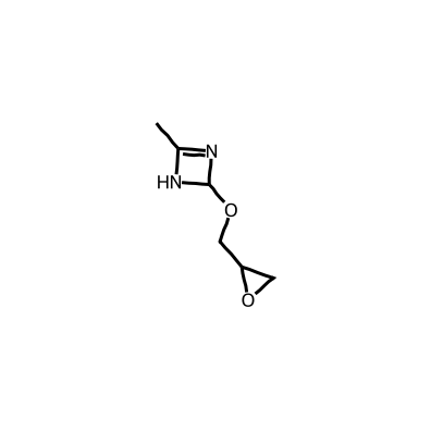 CC1=NC(OCC2CO2)N1